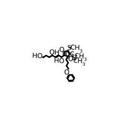 CSC1=CC(CCCCOc2ccccc2)(O[Si](C)(C)C)C(C(O)/C=C/C(O)CCCO)C1=O